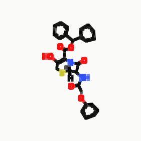 O=C(COc1ccccc1)NC1C(=O)N2C(C(=O)OC(c3ccccc3)c3ccccc3)=C(O)CS[C@@H]12